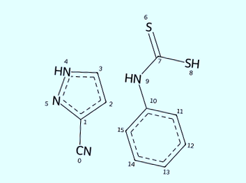 N#Cc1cc[nH]n1.S=C(S)Nc1ccccc1